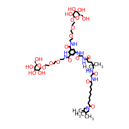 CC1CN(C(=O)CCCCCCCCC(=O)NCC(=O)NCC(C)(C)CCC(=O)NCC(=O)Nc2cc(C(=O)NCCOCCOCCO[C@H]3O[C@H](CO)[C@@H](O)[C@H](O)[C@@H]3O)cc(C(=O)NCCOCCOCCO[C@H]3O[C@H](CO)[C@@H](O)[C@H](O)[C@@H]3O)c2)CC1(C)C